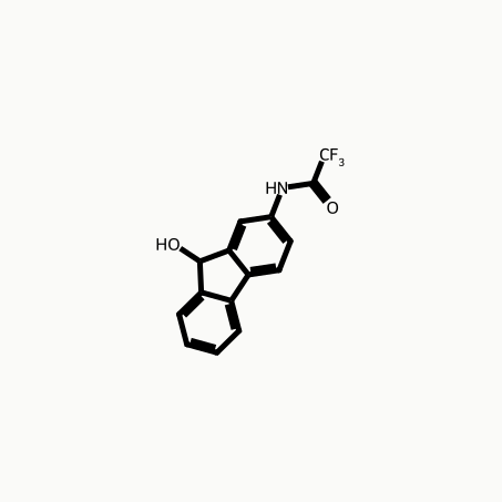 O=C(Nc1ccc2c(c1)C(O)c1ccccc1-2)C(F)(F)F